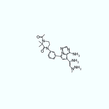 CC(=O)N1CCN(c2cccc(-c3cc(/C(N)=C/N(C)N)c4c(N)ncnn34)c2)C(=O)C1(C)C